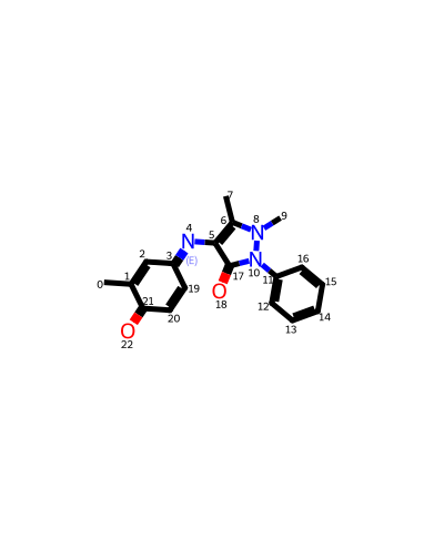 CC1=C/C(=N/c2c(C)n(C)n(-c3ccccc3)c2=O)C=CC1=O